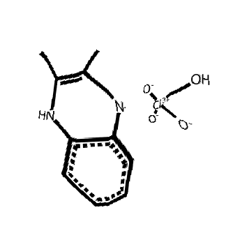 CC1=C(C)Nc2ccccc2[N]1.[O-][Cl+3]([O-])([O-])O